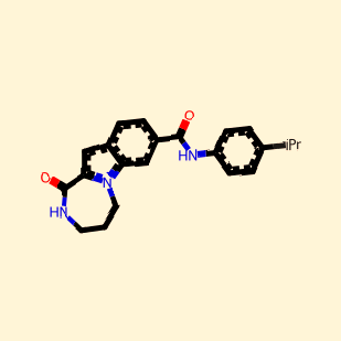 CC(C)c1ccc(NC(=O)c2ccc3cc4n(c3c2)CCCNC4=O)cc1